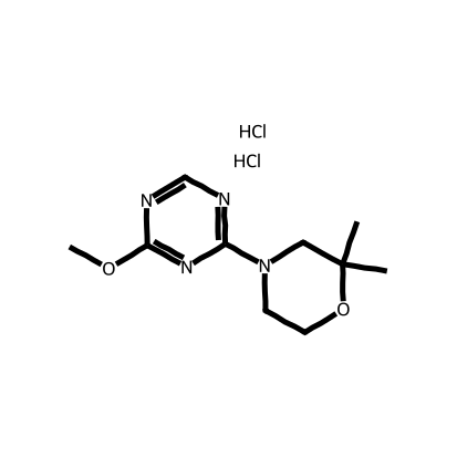 COc1ncnc(N2CCOC(C)(C)C2)n1.Cl.Cl